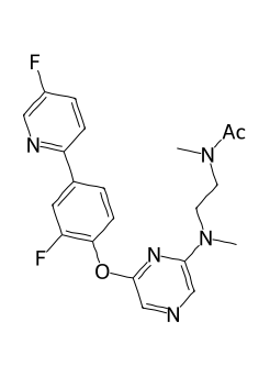 CC(=O)N(C)CCN(C)c1cncc(Oc2ccc(-c3ccc(F)cn3)cc2F)n1